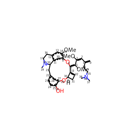 C=C(/C=C(/OC)C(OC)=C1Oc2cc3c(cc2OC)CCN(C)C3Cc2ccc(O)c(c2)O[C@@H]2CC=C12)CCN(C)C